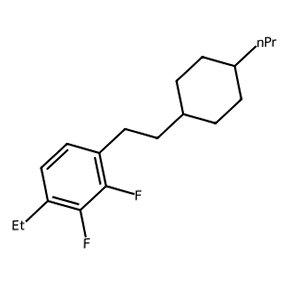 CCCC1CCC(CCc2ccc(CC)c(F)c2F)CC1